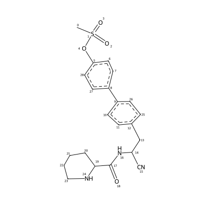 CS(=O)(=O)Oc1ccc(-c2ccc(CC(C#N)NC(=O)C3CCCCN3)cc2)cc1